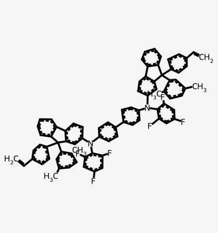 C=Cc1ccc(C2(c3cc(C)ccc3C)c3ccccc3-c3ccc(N(c4ccc(-c5ccc(N(c6ccc7c(c6)C(c6ccc(C=C)cc6)(c6cc(C)ccc6C)c6ccccc6-7)c6c(F)cc(F)cc6F)cc5)cc4)c4c(F)cc(F)cc4F)cc32)cc1